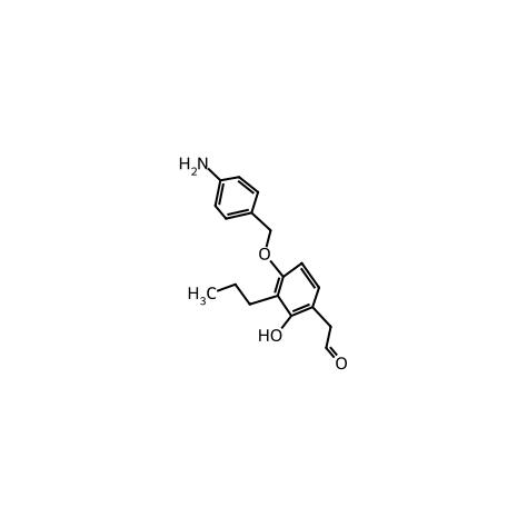 CCCc1c(OCc2ccc(N)cc2)ccc(CC=O)c1O